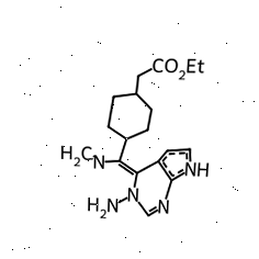 C=N/C(=C1/c2cc[nH]c2N=CN1N)C1CCC(CC(=O)OCC)CC1